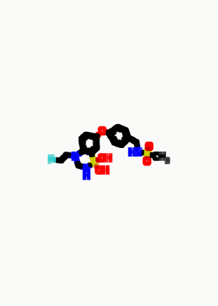 CS(=O)(=O)NCc1ccc(Oc2ccc3c(c2)S(O)(O)NCN3CCF)cc1